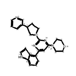 c1cncc(C2CCN(c3nc(-c4cccc5[nH]ccc45)cc(N4CCOCC4)n3)C2)c1